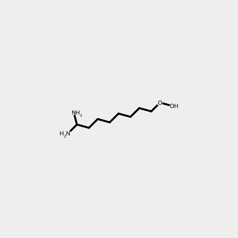 NC(N)CCCCCCCOO